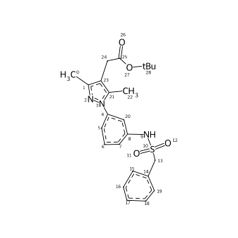 Cc1nn(-c2cccc(NS(=O)(=O)Cc3ccccc3)c2)c(C)c1CC(=O)OC(C)(C)C